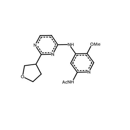 COc1cnc(NC(C)=O)cc1Nc1ccnc(C2CCOC2)n1